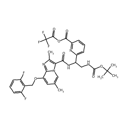 Cc1cc(OCc2c(F)cccc2F)c2nc(C)c(C(=O)NC(CNC(=O)OC(C)(C)C)c3cccc(C(=O)OC(=O)C(F)(F)F)n3)n2c1